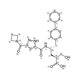 O=C(N[C@H](Cc1ccc(-c2ccccc2)cc1)C[C@@H](CO)C(=O)O)c1cc(C(=O)N2CCC2)n[nH]1